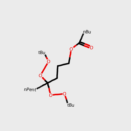 CCCCCC(CCCOC(=O)CCCC)(OOC(C)(C)C)OOC(C)(C)C